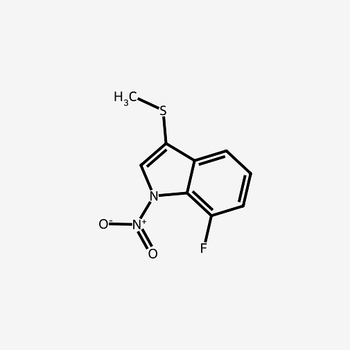 CSc1cn([N+](=O)[O-])c2c(F)cccc12